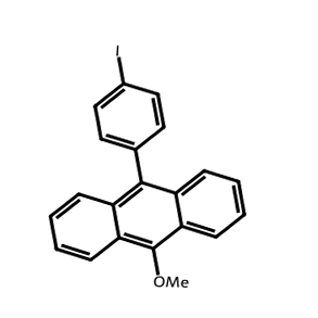 COc1c2ccccc2c(-c2ccc(I)cc2)c2ccccc12